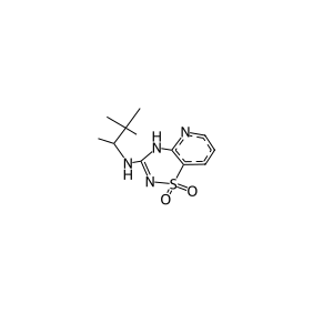 CC(NC1=NS(=O)(=O)c2cccnc2N1)C(C)(C)C